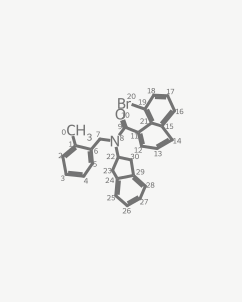 Cc1ccccc1CN(C(=O)c1cccc2cccc(Br)c12)C1Cc2ccccc2C1